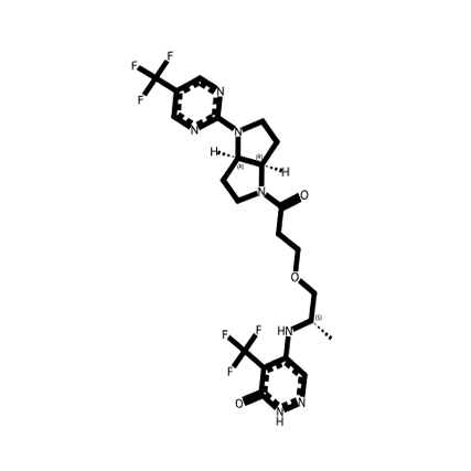 C[C@@H](COCCC(=O)N1CC[C@@H]2[C@H]1CCN2c1ncc(C(F)(F)F)cn1)Nc1cn[nH]c(=O)c1C(F)(F)F